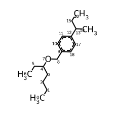 CCCCC(CC)OCc1ccc(C(C)CC)cc1